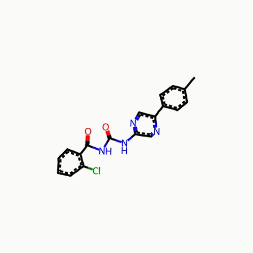 Cc1ccc(-c2cnc(NC(=O)NC(=O)c3ccccc3Cl)cn2)cc1